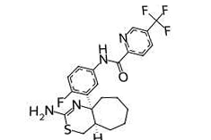 NC1=N[C@@]2(c3cc(NC(=O)c4ccc(C(F)(F)F)cn4)ccc3F)CCCCC[C@H]2CS1